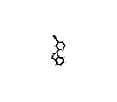 C#CC1CCOC(n2ncc3ccccc32)C1